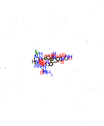 CCCCc1ccc(C[C@H](NC(=O)[C@H](CCC(N)=O)NC(=O)[C@@H]2CC[C@@H]3CCN(CC(F)F)C[C@H](NC(=O)c4cc5cc(C(F)(F)P(=O)(O)O)ccc5s4)C(=O)N32)C(=O)N2CCC3(CC2)CC(Nc2ccc4c(c2)C(=O)N(C2CCC(=O)NC2=O)C4=O)C3)cc1